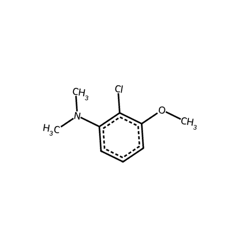 COc1cccc(N(C)C)c1Cl